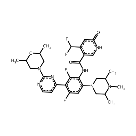 CC1CN(c2nccc(-c3c(F)cc(N4CC(C)N(C)C(C)C4)c(NC(=O)c4c[nH]c(=O)cc4C(F)F)c3F)n2)CC(C)O1